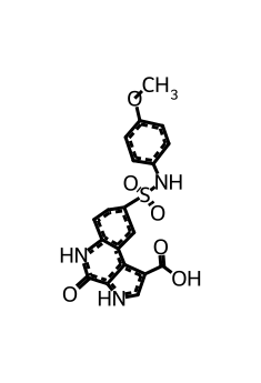 COc1ccc(NS(=O)(=O)c2ccc3[nH]c(=O)c4[nH]cc(C(=O)O)c4c3c2)cc1